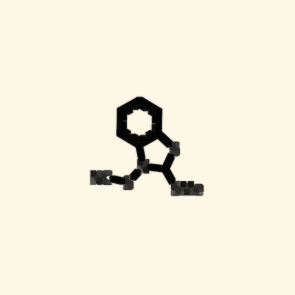 CSC1Sc2ccccc2N1SC#N